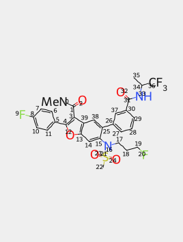 CNC(=O)c1c(-c2ccc(F)cc2)oc2cc(N(CCCF)S(C)(=O)=O)c(-c3cccc(C(=O)NC(C)C(F)(F)F)c3)cc12